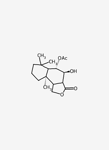 CC(=O)O[C@H]1C2C(C)(C)CCC[C@]2(C)C2COC(=O)C2[C@@H]1O